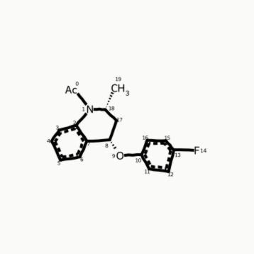 CC(=O)N1c2ccccc2[C@@H](Oc2ccc(F)cc2)C[C@H]1C